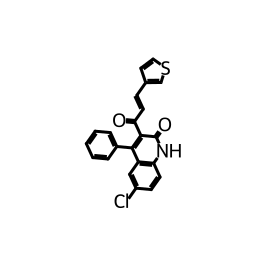 O=C(/C=C/c1ccsc1)c1c(-c2ccccc2)c2cc(Cl)ccc2[nH]c1=O